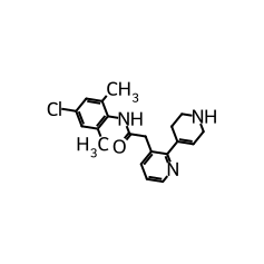 Cc1cc(Cl)cc(C)c1NC(=O)Cc1cccnc1C1=CCNCC1